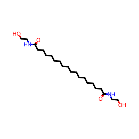 O=C(CCCCCCCCCCCCCCCCC(=O)NCCO)NCCO